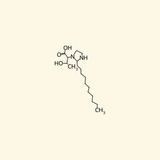 CCCCCCCCCCCC1NCCN1C(C(=O)O)C(C)O